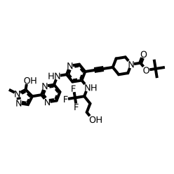 Cn1ncc(-c2nccc(Nc3cc(NC(CCO)C(F)(F)F)c(C#CC4CCN(C(=O)OC(C)(C)C)CC4)cn3)n2)c1O